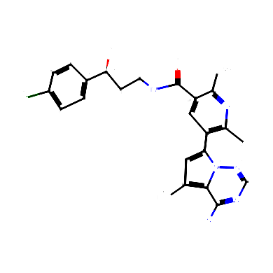 COc1nc(C)c(-c2cc(C(F)(F)F)c3c(N)ncnn23)cc1C(=O)NCC[C@H](O)c1ccc(Cl)cc1